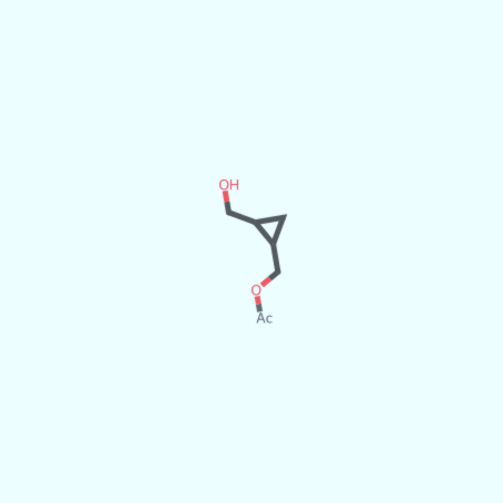 CC(=O)OCC1CC1CO